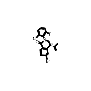 C=C(C)[C@H]1CN(c2c(F)cccc2Cl)C(=O)c2ccc(Br)cc21